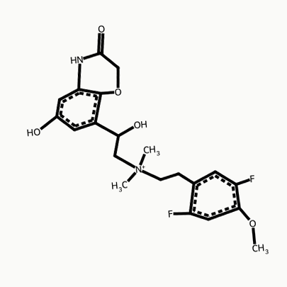 COc1cc(F)c(CC[N+](C)(C)CC(O)c2cc(O)cc3c2OCC(=O)N3)cc1F